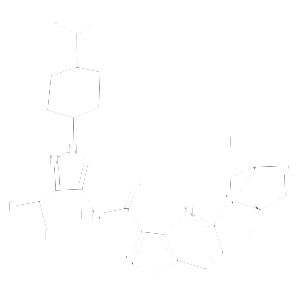 CC(S)C1CCC(n2cc(NC(=O)c3nsc4ccc(N5C[C@@H]6C[C@H]5CO6)nc34)c(C(F)F)n2)CC1